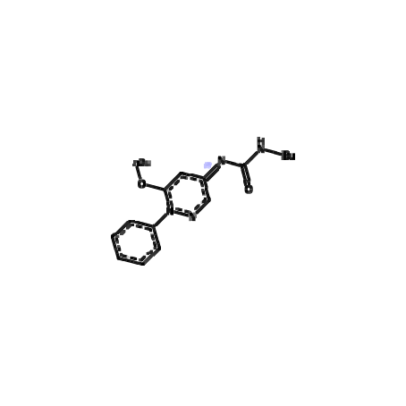 CCCCOc1c/c(=N/C(=O)NC(C)CC)cnn1-c1ccccc1